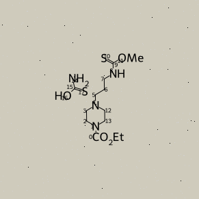 CCOC(=O)N1CCN(CCCNC(=S)OC)CC1.NC(O)=S